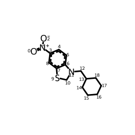 O=[N+]([O-])c1ccc2c(c1)SCN2CC1CCCCC1